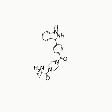 NC1(C(=O)N2CCN(C(=O)c3ccc(C4NNc5ccccc54)cc3)CC2)CC1